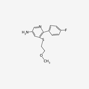 COCCSc1cc(N)cnc1-c1ccc(F)cc1